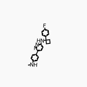 CNc1ccc(-c2ccc(NC3(c4ccc(F)cc4)CCC3)nn2)cc1